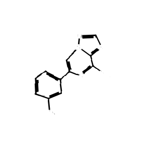 N#Cc1cccc(-c2cn3ncnc3c(N)n2)c1